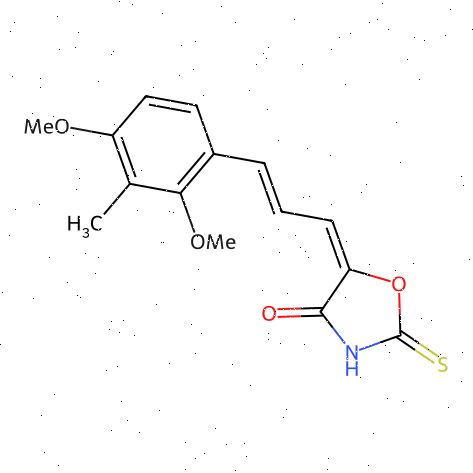 COc1ccc(C=CC=C2OC(=S)NC2=O)c(OC)c1C